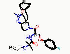 CN1N=C2CCN(C(=O)[C@@H](COc3ccc(F)cc3)NC(=O)C(C)(C)NC(=O)O)C[C@@]2(Cc2ccccc2)C1=O